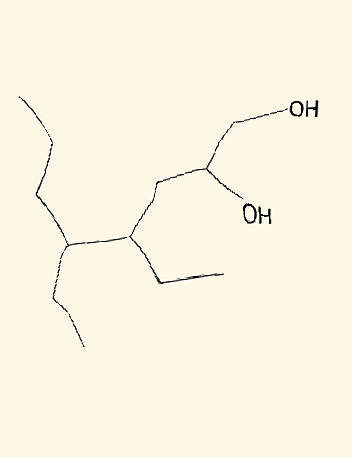 CCCC(CC)C(CC)CC(O)CO